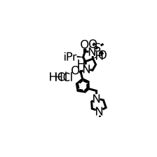 CC(C)[C@H]1C(=O)N(S(C)(=O)=O)[C@H]2CCN(C(=O)c3cccc(CN4CCN(C)CC4)c3)[C@H]12.Cl.Cl